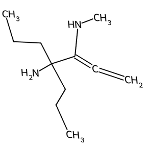 C=C=C(NC)C(N)(CCC)CCC